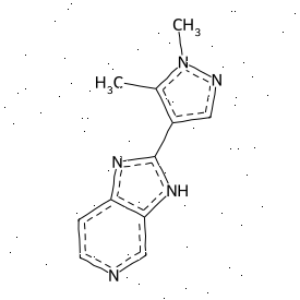 Cc1c(-c2nc3ccncc3[nH]2)cnn1C